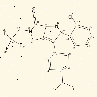 CC(C)c1ccc(-c2c3c(nn2-c2ccccc2Cl)C(=O)N(CC(F)(F)F)C3)cc1